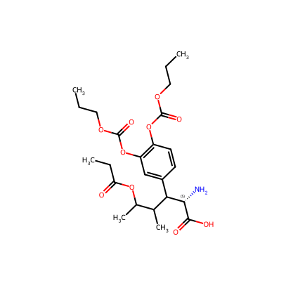 CCCOC(=O)Oc1ccc(C(C(C)C(C)OC(=O)CC)[C@H](N)C(=O)O)cc1OC(=O)OCCC